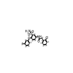 NS(=O)(=O)c1cc(NC(=O)Cc2ccccc2Cl)ccc1Oc1cccc(F)c1